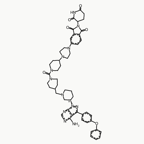 Nc1ncnc2c1c(-c1ccc(Oc3ccccc3)cc1)nn2[C@@H]1CCCN(CC2CCN(C(=O)N3CCC(N4CCN(c5ccc6c(c5)C(=O)N(C5CCC(=O)NC5=O)C6=O)CC4)CC3)CC2)C1